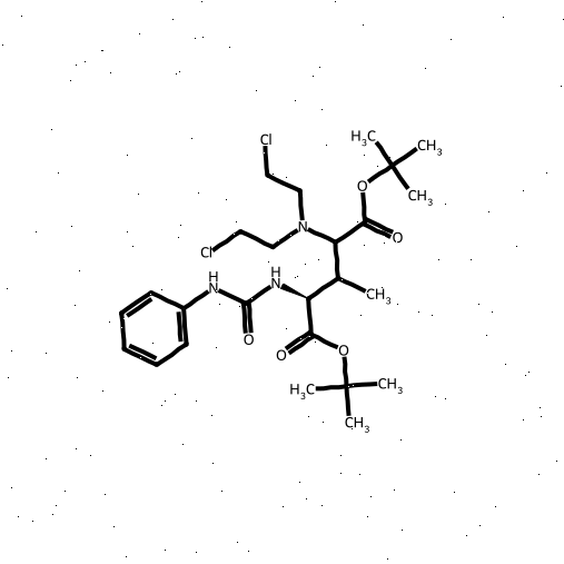 CC(C(C(=O)OC(C)(C)C)N(CCCl)CCCl)[C@H](NC(=O)Nc1ccccc1)C(=O)OC(C)(C)C